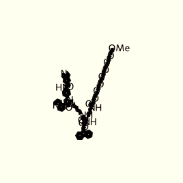 COCCOCCOCCOCCOCCOCCOCCOCCC(=O)NCCCC[C@H](NC(=O)OCC1c2ccccc2-c2ccccc21)C(=O)NCCCCCCN1N=C(c2ccc(NC(=O)N3Cc4ccncc4C3)cc2)CC(c2cccc3ncccc23)C1=O